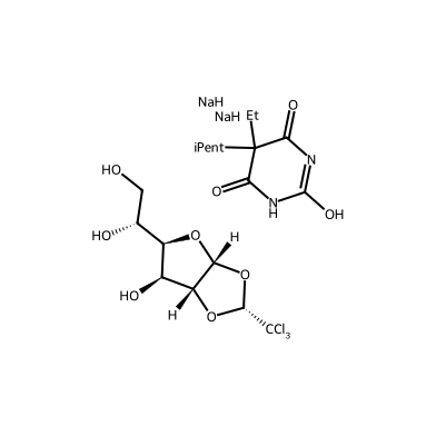 CCCC(C)C1(CC)C(=O)N=C(O)NC1=O.OC[C@@H](O)[C@H]1O[C@@H]2O[C@H](C(Cl)(Cl)Cl)O[C@@H]2[C@H]1O.[NaH].[NaH]